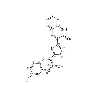 O=c1[nH]c2ccccc2cc1-c1csc(C(Cc2ccc(F)cc2)=S(=O)=O)n1